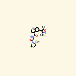 Cc1noc(C)c1-c1ccc2nccc(C(=O)NCC(=O)N3CC(F)(F)CCC3C#N)c2c1